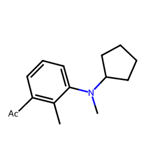 CC(=O)c1cccc(N(C)C2CCCC2)c1C